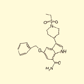 CCS(=O)(=O)N1CCC(c2c[nH]c3c(C(N)=O)cc(OCc4ccccc4)cc23)CC1